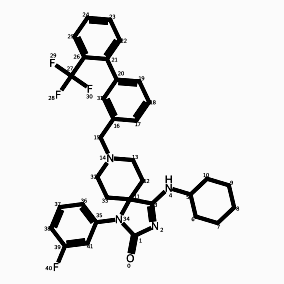 O=C1N=C(NC2CCCCC2)C2(CCN(Cc3cccc(-c4ccccc4C(F)(F)F)c3)CC2)N1c1cccc(F)c1